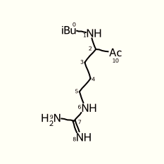 CCC(C)NC(CCCNC(=N)N)C(C)=O